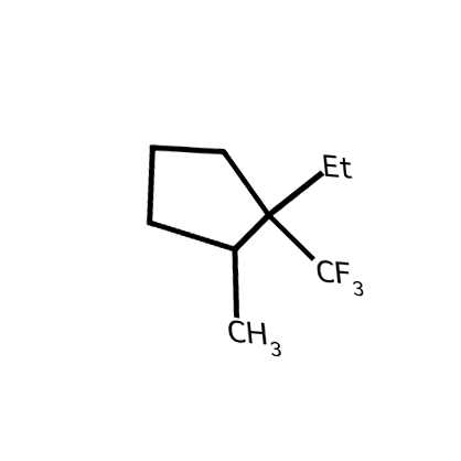 CCC1(C(F)(F)F)CCCC1C